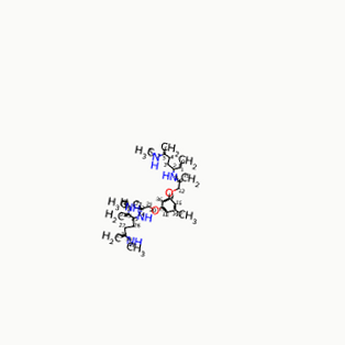 C=CC(CCC(=C)NC)NC(=C)COc1cc(C)cc(OCC(=C)NC(CCC(=C)NC)C(=C)NC)c1